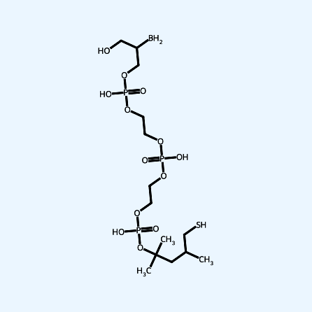 BC(CO)COP(=O)(O)OCCOP(=O)(O)OCCOP(=O)(O)OC(C)(C)CC(C)CS